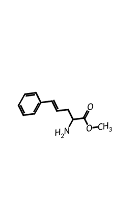 COC(=O)C(N)CC=Cc1ccccc1